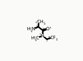 CC(N)C(=O)N(C)CC(F)(F)F